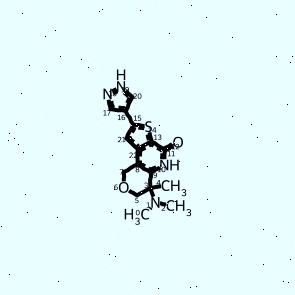 CN(C)C1(C)COCc2c1[nH]c(=O)c1sc(-c3cn[nH]c3)cc21